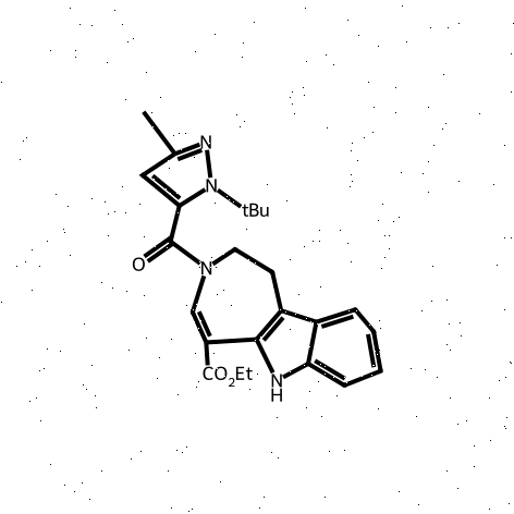 CCOC(=O)C1=CN(C(=O)c2cc(C)nn2C(C)(C)C)CCc2c1[nH]c1ccccc21